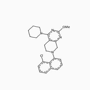 COc1nc2c(c(N3CCCCC3)n1)CCN(c1cccc3cccc(Cl)c13)C2